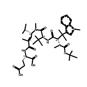 C/C(=C\[C@H](C(C)C)N(C)C(=O)[C@@H](NC(=O)[C@@H](N(C)C(=O)OC(C)(C)C)C(C)(C)c1cn(C)c2ccccc12)C(C)(C)C)C(=O)N[C@@H](CCC(=O)O)C(=O)O